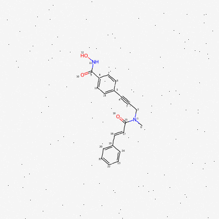 CN(CC#Cc1ccc(C(=O)NO)cc1)C(=O)/C=C/c1ccccc1